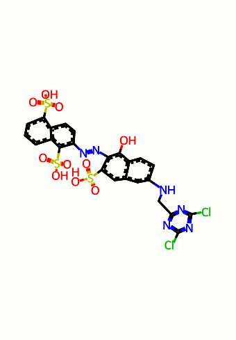 O=S(=O)(O)c1cc2cc(NCc3nc(Cl)nc(Cl)n3)ccc2c(O)c1/N=N/c1ccc2c(S(=O)(=O)O)cccc2c1S(=O)(=O)O